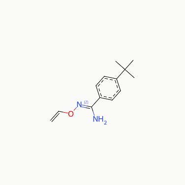 C=CO/N=C(\N)c1ccc(C(C)(C)C)cc1